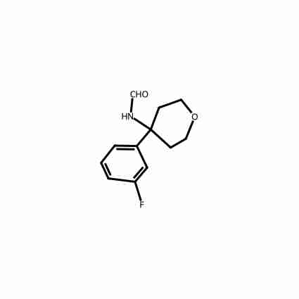 O=CNC1(c2cccc(F)c2)CCOCC1